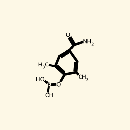 Cc1cc(C(N)=O)cc(C)c1OB(O)O